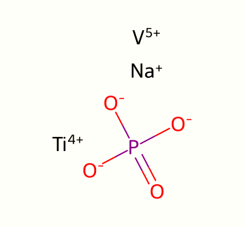 O=P([O-])([O-])[O-].[Na+].[Ti+4].[V+5]